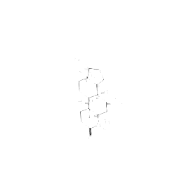 CC[C@@H]1C[C@H]2N(C)C(=O)CC[C@]2(C)[C@H]2CC[C@]3(C)[C@@H](O)CC[C@H]3[C@H]12